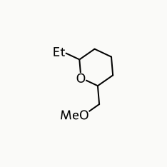 CCC1CCCC(COC)O1